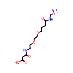 NOCNC(=O)CCCOCCOCCNC(=O)CC(=O)O